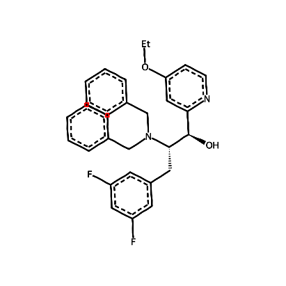 CCOc1ccnc([C@@H](O)[C@H](Cc2cc(F)cc(F)c2)N(Cc2ccccc2)Cc2ccccc2)c1